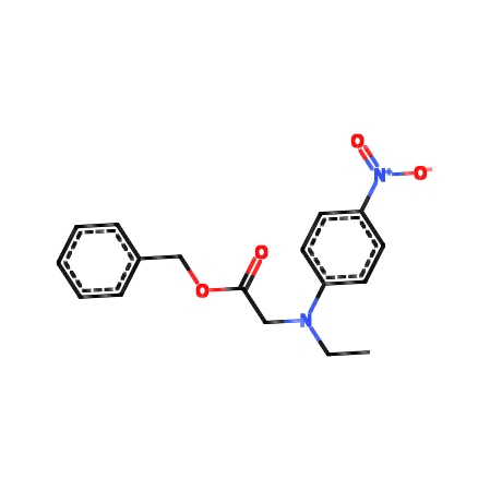 CCN(CC(=O)OCc1ccccc1)c1ccc([N+](=O)[O-])cc1